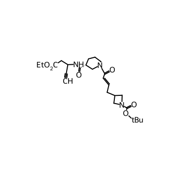 C#CC(CC(=O)OCC)NC(=O)[C@@H]1CCCN(C(=O)/C=C/CC2CN(C(=O)OC(C)(C)C)C2)C1